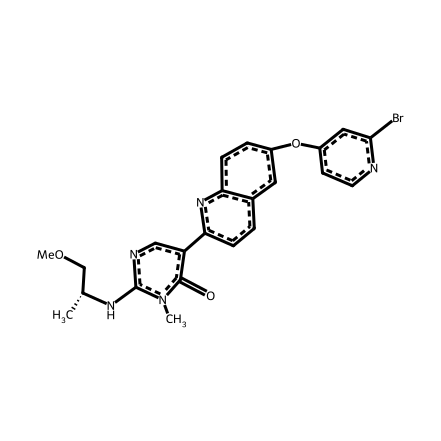 COC[C@@H](C)Nc1ncc(-c2ccc3cc(Oc4ccnc(Br)c4)ccc3n2)c(=O)n1C